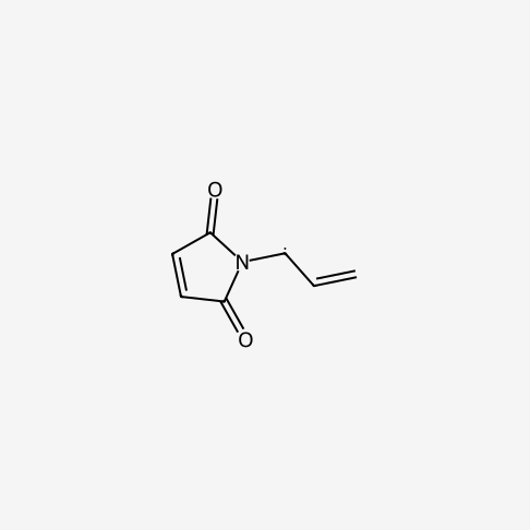 C=C[CH]N1C(=O)C=CC1=O